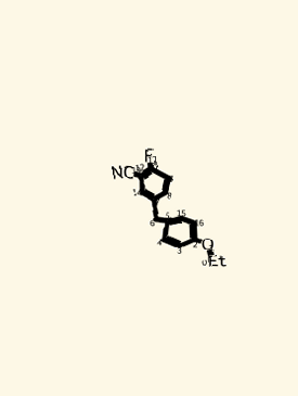 CCOc1ccc(Cc2ccc(F)c(C#N)c2)cc1